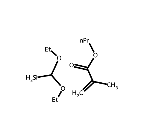 C=C(C)C(=O)OCCC.CCOC([SiH3])OCC